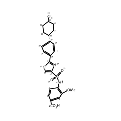 COc1cc(C(=O)O)ccc1NS(=O)(=O)c1coc(-c2ccc([C@H]3CC[C@H](C(F)(F)F)CC3)cc2)n1